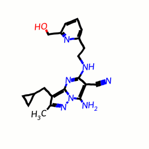 Cc1nn2c(N)c(C#N)c(NCCc3cccc(CO)n3)nc2c1CC1CC1